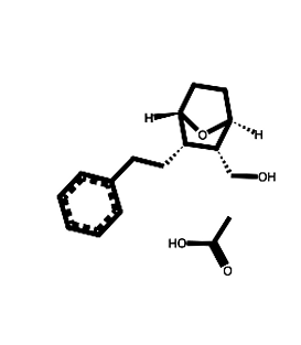 CC(=O)O.OC[C@@H]1[C@H](CCc2ccccc2)[C@@H]2CC[C@@H]1O2